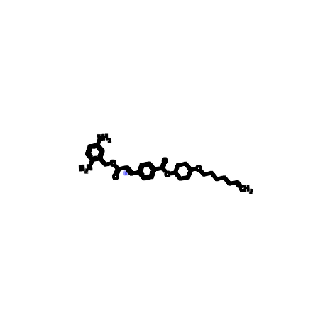 C=CCCCCCOC1CCC(OC(=O)c2ccc(/C=C/C(=O)OCc3cc(N)ccc3N)cc2)CC1